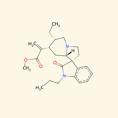 C=C(C(=O)OC)[C@H]1C[C@@H]2N(CC[C@]23C(=O)N(CCC)c2ccccc23)C[C@H]1CC